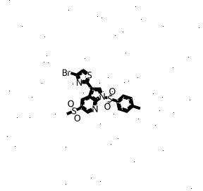 Cc1ccc(S(=O)(=O)n2cc(-c3nc(Br)cs3)c3cc(S(C)(=O)=O)cnc32)cc1